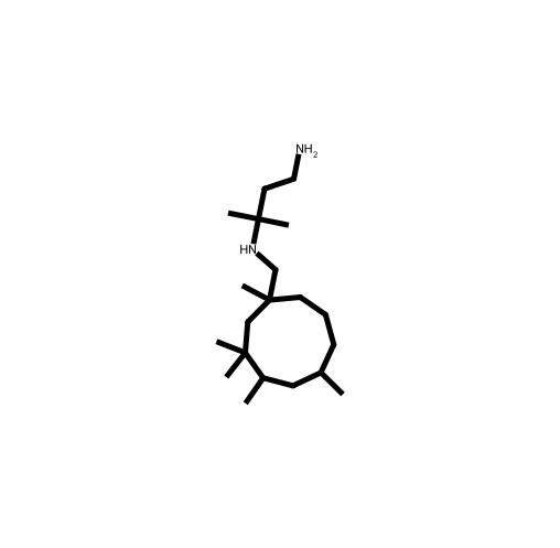 CC1CCCC(C)(CNC(C)(C)CCN)CC(C)(C)C(C)C1